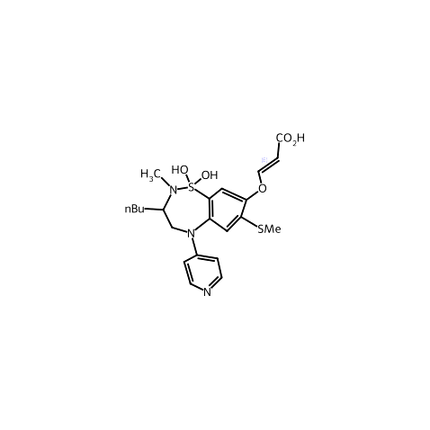 CCCCC1CN(c2ccncc2)c2cc(SC)c(O/C=C/C(=O)O)cc2S(O)(O)N1C